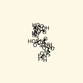 CON=C(C(=O)NC1C(=O)N2CC(CSc3nnnn3CC(C(=O)O)N(OC(C)(C)C)C(=O)O)(C(=O)O)CS[C@H]12)c1csc(NC(=O)C(F)(F)F)n1